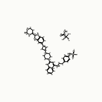 CS(=O)(=O)Nc1ccc(CCNc2nc(N3CCN(C4CN(c5ccc6c(c5)ON(C5CCONO5)O6)C4)CC3)nc3ccccc23)cc1.O=C(O)C(F)(F)F